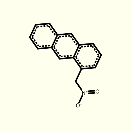 O=[N+]([O-])[CH]c1cccc2cc3ccccc3cc12